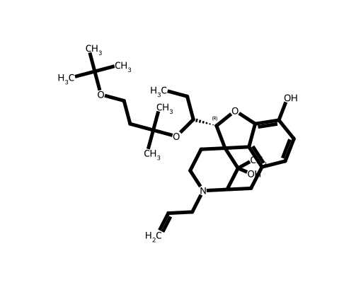 C=CCN1CCC23c4c(ccc(O)c4O[C@H]2C(CC)OC(C)(C)CCOC(C)(C)C)CC1C3(C)O